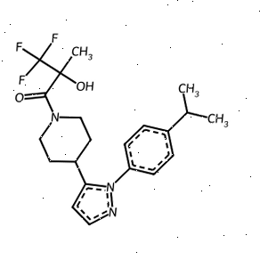 CC(C)c1ccc(-n2nccc2C2CCN(C(=O)C(C)(O)C(F)(F)F)CC2)cc1